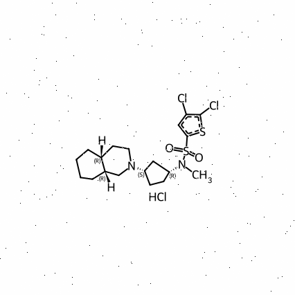 CN([C@@H]1CC[C@H](N2CC[C@H]3CCCC[C@H]3C2)C1)S(=O)(=O)c1cc(Cl)c(Cl)s1.Cl